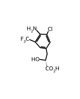 Nc1c(Cl)cc(C[C@@H](O)C(=O)O)cc1C(F)(F)F